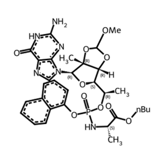 CCCCOC(=O)[C@H](C)NP(=O)(Oc1cccc2ccccc12)O[C@H](C)[C@H]1O[C@@H](n2cnc3c(=O)[nH]c(N)nc32)[C@]2(C)OC(OC)O[C@H]12